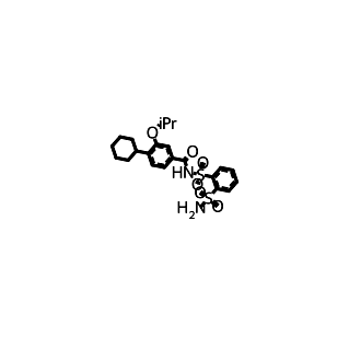 CC(C)Oc1cc(C(=O)NS(=O)(=O)c2ccccc2S(N)(=O)=O)ccc1C1CCCCC1